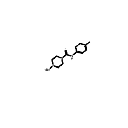 CC1=CC=C(NC(=S)N2CCN(C(C)(C)C)CC2)CC1